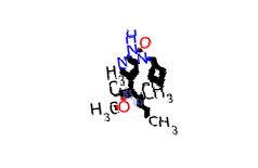 CCC/C=C(C)/C(=C(/C)OC)c1cnc2[nH]c(=O)n(CC3CCC3)c2c1